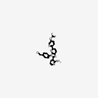 Nc1ncccc1-c1nc2ccc(-c3ccc(OC(F)F)cn3)nc2n1-c1ccc(CCl)cc1